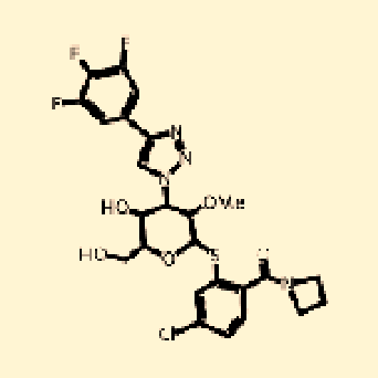 COC1C(Sc2cc(Cl)ccc2C(=O)N2CCC2)OC(CO)C(O)C1n1cc(-c2cc(F)c(F)c(F)c2)nn1